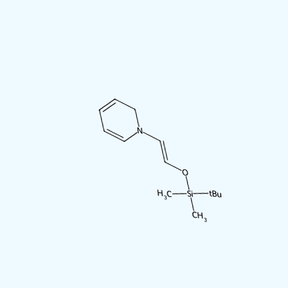 CC(C)(C)[Si](C)(C)OC=CN1C=CC=CC1